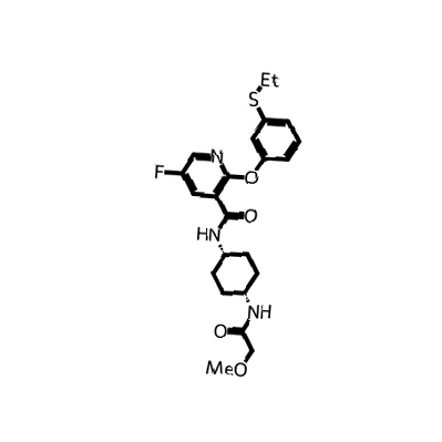 CCSc1cccc(Oc2ncc(F)cc2C(=O)N[C@H]2CC[C@@H](NC(=O)COC)CC2)c1